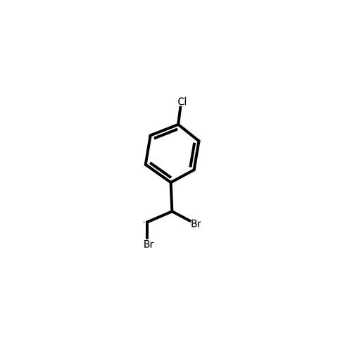 Clc1ccc(C(Br)[CH]Br)cc1